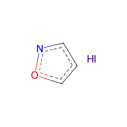 I.c1cnoc1